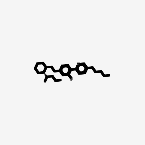 CCCCCc1ccc(-c2ccc(CC[C@@H]3CCCC[C@H]3C(C)CCC)cc2F)nc1